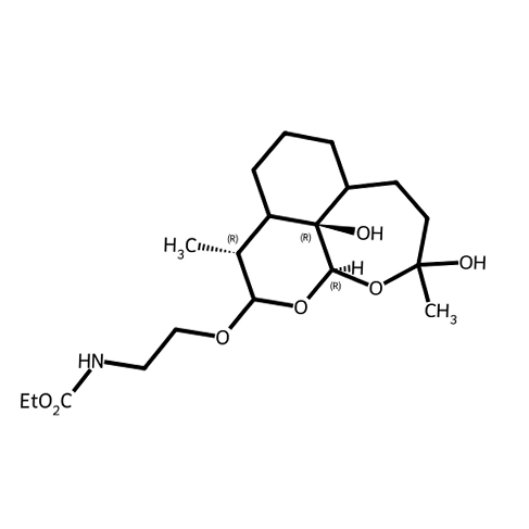 CCOC(=O)NCCOC1O[C@@H]2OC(C)(O)CCC3CCCC([C@H]1C)[C@]32O